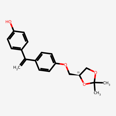 C=C(c1ccc(O)cc1)c1ccc(OC[C@H]2COC(C)(C)O2)cc1